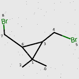 CC1(C)C(CBr)C1CBr